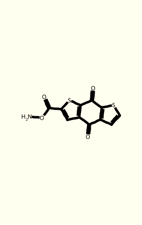 NOC(=O)c1cc2c(s1)C(=O)c1sccc1C2=O